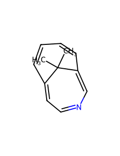 CC1(C)C2=CC=NC=C1C=CC=C2